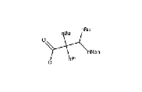 CCCCCCCCCC(CCCC)C(CCC)(CCCC)C([O])=O